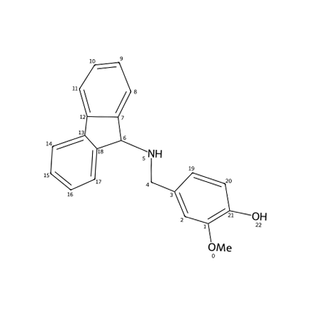 COc1cc(CNC2c3ccccc3-c3ccccc32)ccc1O